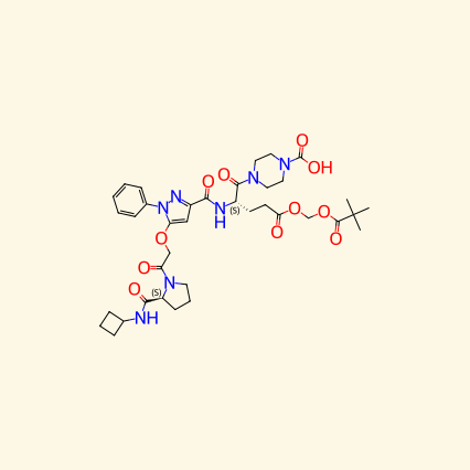 CC(C)(C)C(=O)OCOC(=O)CC[C@H](NC(=O)c1cc(OCC(=O)N2CCC[C@H]2C(=O)NC2CCC2)n(-c2ccccc2)n1)C(=O)N1CCN(C(=O)O)CC1